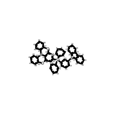 c1ccc([Si](c2ccccc2)(c2cccc(-n3c4ccccc4c4ccccc43)c2)c2cc3c4c(n2)Oc2ccccc2B4c2ccccc2O3)cc1